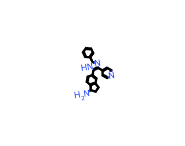 NC1CCc2cc(-c3[nH]c(-c4ccccc4)nc3-c3ccncc3)ccc21